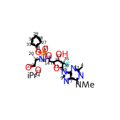 CNc1nc(C)nc2c1ncn2[C@@H]1OC(COP(=O)(N[C@@H](C)C(=O)OC(C)C)Oc2ccccc2)[C@@H](O)[C@@]1(C)F